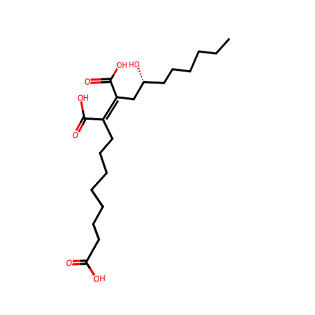 CCCCCC[C@@H](O)C/C(C(=O)O)=C(\CCCCCCCC(=O)O)C(=O)O